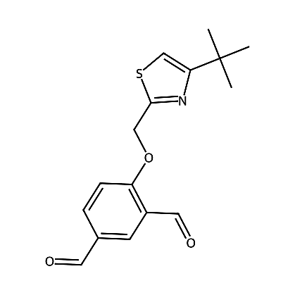 CC(C)(C)c1csc(COc2ccc(C=O)cc2C=O)n1